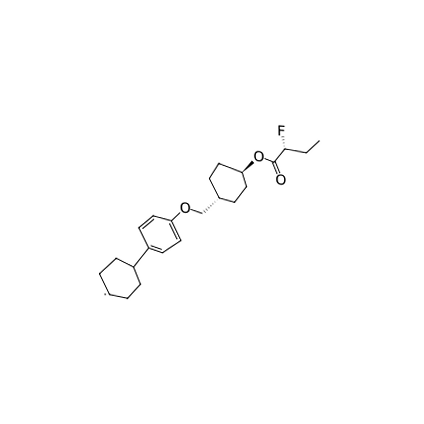 CC[C@@H](F)C(=O)O[C@H]1CC[C@H](COc2ccc(C3CC[CH]CC3)cc2)CC1